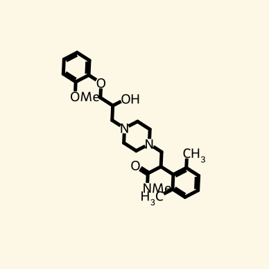 CNC(=O)C(CN1CCN(CC(O)COc2ccccc2OC)CC1)c1c(C)cccc1C